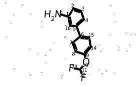 Nc1cccc(-c2ccc(OC(F)F)cc2)c1